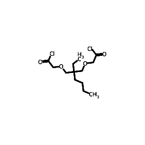 CCCCC(CC)(COCC(=O)Cl)COCC(=O)Cl